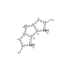 Cc1cc2oc3cc(C)[nH]c3c2[nH]1